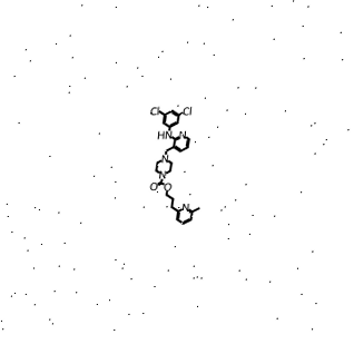 Cc1cccc(CCCOC(=O)N2CCN(Cc3cccnc3Nc3cc(Cl)cc(Cl)c3)CC2)n1